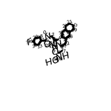 CN(Cc1cn([C@@H](CC(=O)NO)Cc2ccc3c(c2)CCCC3)nn1)C(=O)c1ccc(F)cc1